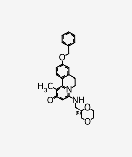 Cc1c2n(c(NC[C@@H]3COCCO3)cc1=O)CCc1cc(OCc3ccccc3)ccc1-2